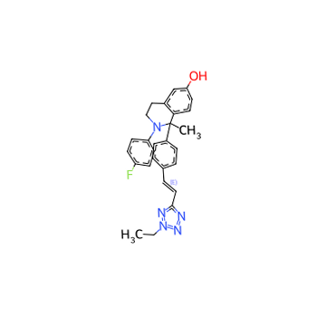 CCn1nnc(/C=C/c2ccc(C3(C)c4ccc(O)cc4CCN3c3ccc(F)cc3)cc2)n1